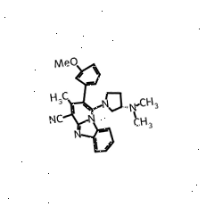 COc1cccc(-c2c(C)c(C#N)c3nc4ccccc4n3c2N2CC[C@H](N(C)C)C2)c1